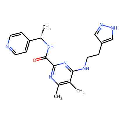 Cc1nc(C(=O)N[C@@H](C)c2ccncc2)nc(NCCc2cn[nH]c2)c1C